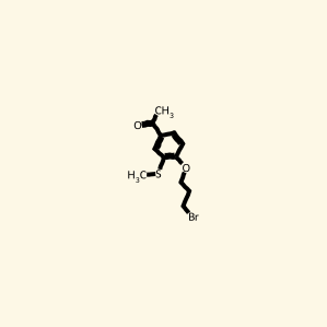 CSc1cc(C(C)=O)ccc1OCCCBr